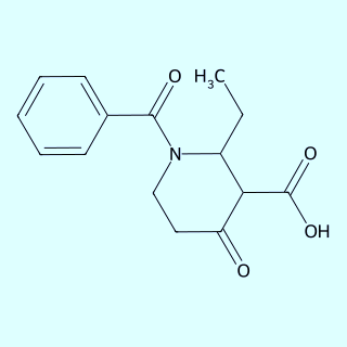 CCC1C(C(=O)O)C(=O)CCN1C(=O)c1ccccc1